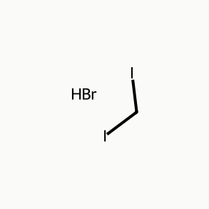 Br.ICI